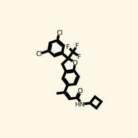 C/C(=C/C(=O)NC1CCC1)c1ccc2c(c1)CC(c1cc(Cl)cc(Cl)c1)(C(F)(F)F)O2